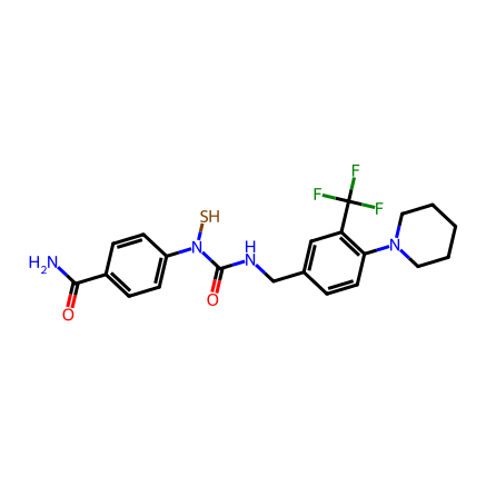 NC(=O)c1ccc(N(S)C(=O)NCc2ccc(N3CCCCC3)c(C(F)(F)F)c2)cc1